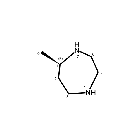 C[C@@H]1CCNCCN1